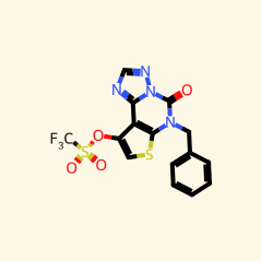 O=c1n(Cc2ccccc2)c2scc(OS(=O)(=O)C(F)(F)F)c2c2ncnn12